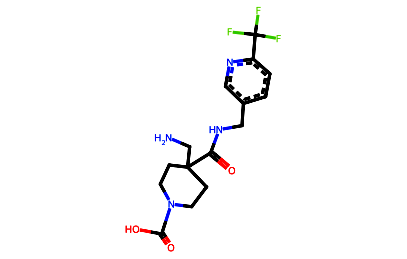 NCC1(C(=O)NCc2ccc(C(F)(F)F)nc2)CCN(C(=O)O)CC1